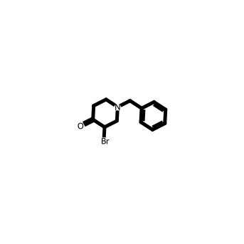 O=C1CCN(Cc2ccccc2)CC1Br